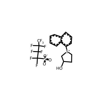 O=S(=O)([O-])C(F)(F)C(F)(F)C(F)(F)C(F)(F)F.OC1CC[S+](c2cccc3ccccc23)C1